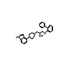 OC(COc1ccccc1-c1ccccc1)CN1CCN(c2cccc3[nH]ccc23)CC1